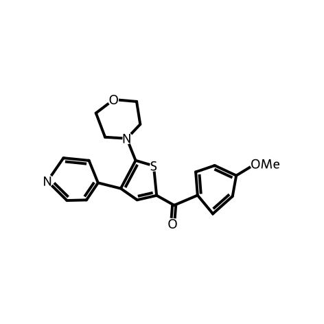 COc1ccc(C(=O)c2cc(-c3ccncc3)c(N3CCOCC3)s2)cc1